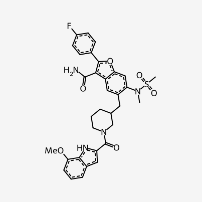 COc1cccc2cc(C(=O)N3CCCC(Cc4cc5c(C(N)=O)c(-c6ccc(F)cc6)oc5cc4N(C)S(C)(=O)=O)C3)[nH]c12